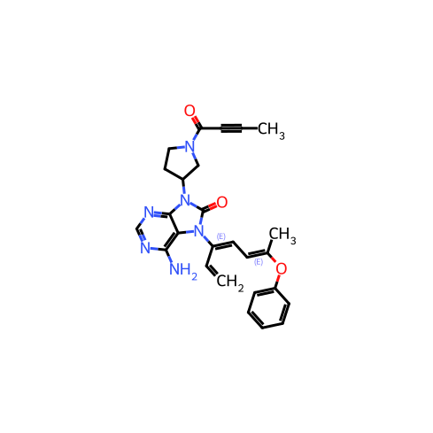 C=C/C(=C\C=C(/C)Oc1ccccc1)n1c(=O)n(C2CCN(C(=O)C#CC)C2)c2ncnc(N)c21